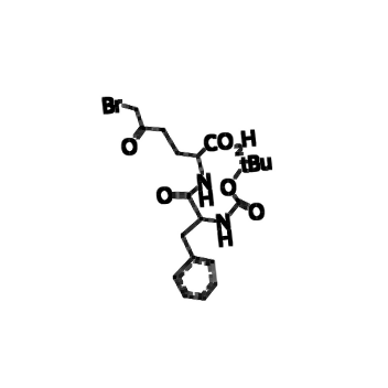 CC(C)(C)OC(=O)NC(Cc1ccccc1)C(=O)NC(CCC(=O)CBr)C(=O)O